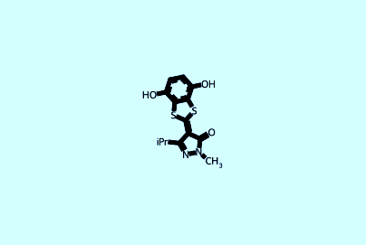 CC(C)C1=NN(C)C(=O)C1=C1Sc2c(O)ccc(O)c2S1